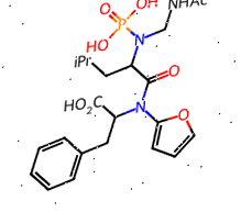 CC(=O)NCN(C(CC(C)C)C(=O)N(c1ccco1)C(Cc1ccccc1)C(=O)O)P(=O)(O)O